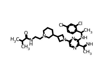 CC(=N)c1ncc(N2CC(C3CCCN(CCNC(=O)C(C)C)C3)C2)nc1NC(C)c1ccc(Cl)cc1Cl